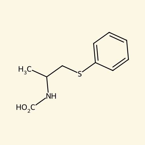 CC(CSc1ccccc1)NC(=O)O